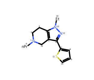 CCCN1CCc2c(c(-c3cccs3)nn2CC)C1